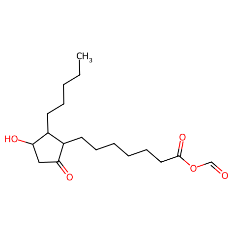 CCCCCC1C(O)CC(=O)C1CCCCCCC(=O)OC=O